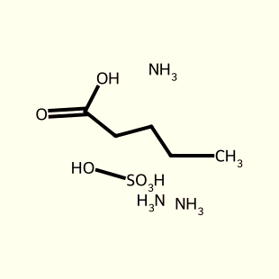 CCCCC(=O)O.N.N.N.O=S(=O)(O)O